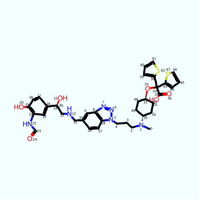 CN(CCCn1nnc2cc(CNC[C@H](O)c3ccc(O)c(NC=O)c3)ccc21)[C@H]1CC[C@H](OC(C(=O)O)(c2cccs2)c2cccs2)CC1